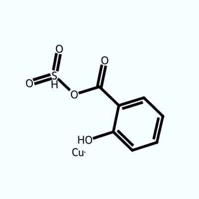 O=C(O[SH](=O)=O)c1ccccc1O.[Cu]